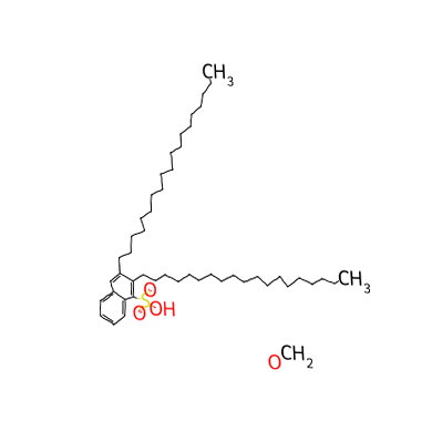 C=O.CCCCCCCCCCCCCCCCCCCc1cc2ccccc2c(S(=O)(=O)O)c1CCCCCCCCCCCCCCCCCCC